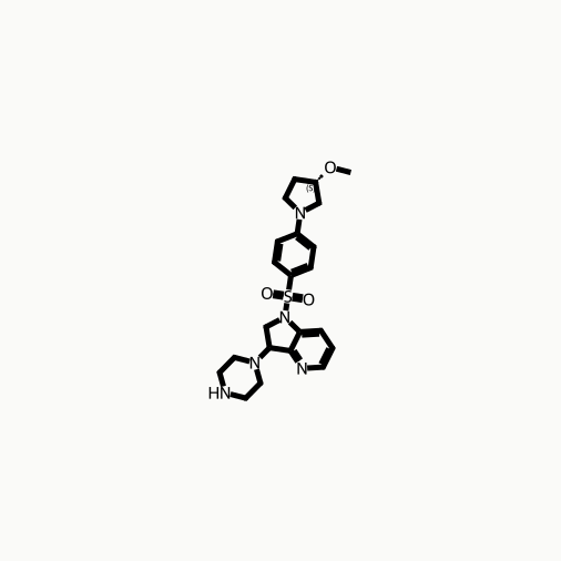 CO[C@H]1CCN(c2ccc(S(=O)(=O)N3CC(N4CCNCC4)c4ncccc43)cc2)C1